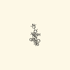 Cc1cc(Nc2ncc(Cl)c(Nc3ccccc3S(=O)(=O)C(C)C)n2)c(OC(C)C)cc1C1=C[C@H](C)N(C)[C@H](C)C1